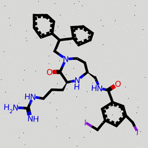 N=C(N)NCCC[C@@H]1N[C@H](CNC(=O)c2cc(CI)cc(CI)c2)CCN(CC(c2ccccc2)c2ccccc2)C1=O